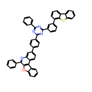 c1ccc(-c2nc(-c3ccc(-c4ccc5c(c4)nc(-c4ccccc4)c4oc6ccccc6c45)cc3)nc(-c3cccc(-c4cccc5c4sc4ccccc45)c3)n2)cc1